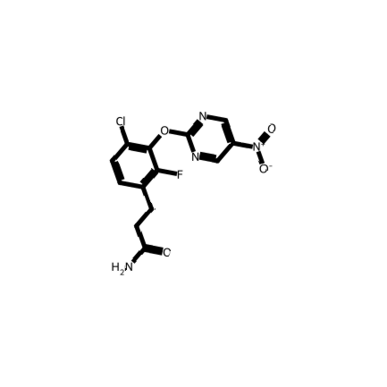 NC(=O)C[CH]c1ccc(Cl)c(Oc2ncc([N+](=O)[O-])cn2)c1F